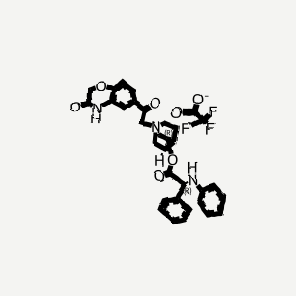 O=C([O-])C(F)(F)F.O=C1COc2ccc(C(=O)C[N+]34CCC(CC3)[C@@H](OC(=O)[C@H](Nc3ccccc3)c3ccccc3)C4)cc2N1